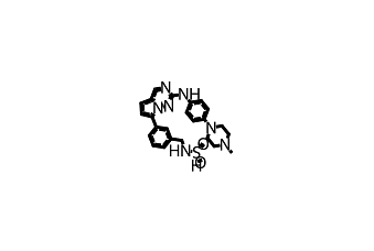 CN1CCN(c2ccc(Nc3ncc4ccc(-c5cccc(CN[SH](=O)=O)c5)n4n3)cc2)CC1